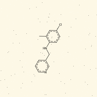 Cc1cc(Cl)ccc1NCc1cccnc1